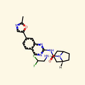 Cc1ncc(-c2ccc3cnc(NC(=O)N4C5CC[C@@H]4C[C@H](NCC(F)F)C5)nc3c2)o1